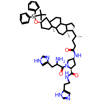 C[C@H](CCC(=O)N[C@H]1C[C@@H](C(=O)NCCc2cnc[nH]2)N(C(=O)C(N)Cc2c[nH]cn2)C1)[C@H]1CCC2C3CCC4C[C@H](O[Si](c5ccccc5)(c5ccccc5)C(C)(C)C)CC[C@]4(C)C3CC[C@@]21C